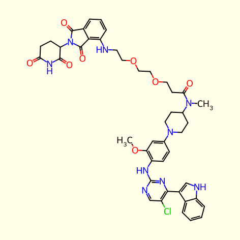 COc1cc(N2CCC(N(C)C(=O)CCOCCOCCNc3cccc4c3C(=O)N(C3CCC(=O)NC3=O)C4=O)CC2)ccc1Nc1ncc(Cl)c(-c2c[nH]c3ccccc23)n1